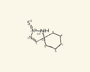 S=[N+]1N=CC2(CCCCC2)N1